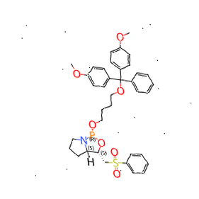 COc1ccc(C(OCCCCO[P@@]2O[C@H](CS(=O)(=O)c3ccccc3)[C@@H]3CCCN32)(c2ccccc2)c2ccc(OC)cc2)cc1